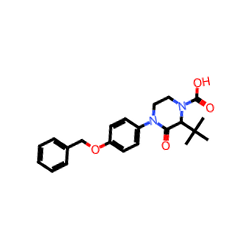 CC(C)(C)C1C(=O)N(c2ccc(OCc3ccccc3)cc2)CCN1C(=O)O